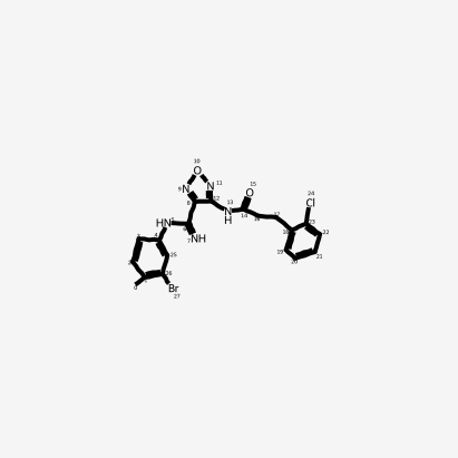 Cc1ccc(NC(=N)c2nonc2NC(=O)CCc2ccccc2Cl)cc1Br